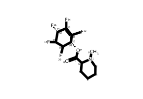 CN1CCCCC1C(=O)O[C@H]1C(F)=C(F)[C@@H](F)C(F)C1F